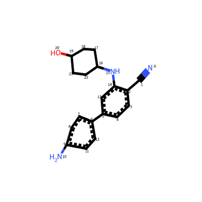 N#Cc1ccc(-c2ccc(N)cc2)cc1NC1CCC(O)CC1